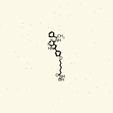 C[C@@H](Nc1ncnc2[nH]c(-c3ccc(OCCCCCCC(=O)NO)cc3)cc12)c1ccccc1